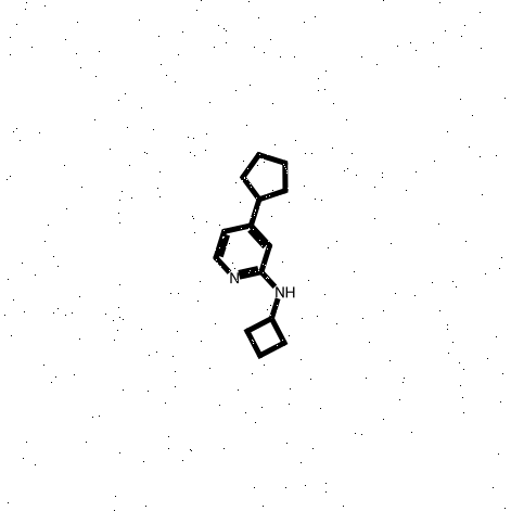 c1cc(C2CCCC2)cc(NC2CCC2)n1